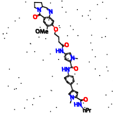 CCCNC(=O)c1cc(-c2ccc(NC(=O)c3cc(NC(=O)CCCOc4cc5c(cc4OC)C(=O)N4CCCC4C=N5)cn3C)cc2)cn1C